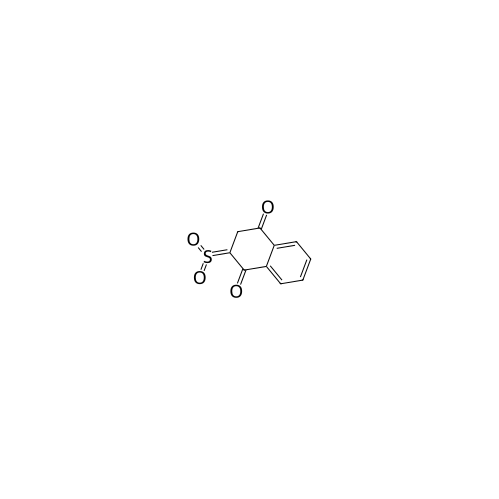 O=C1CC(=S(=O)=O)C(=O)c2ccccc21